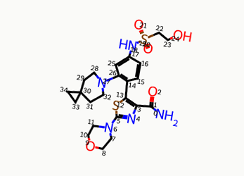 NC(=O)c1nc(N2CCOCC2)sc1-c1ccc(NS(=O)(=O)CCO)cc1N1CCC2(CC1)CC2